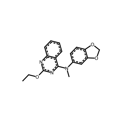 CCOc1nc(N(C)c2ccc3c(c2)OCO3)c2ccccc2n1